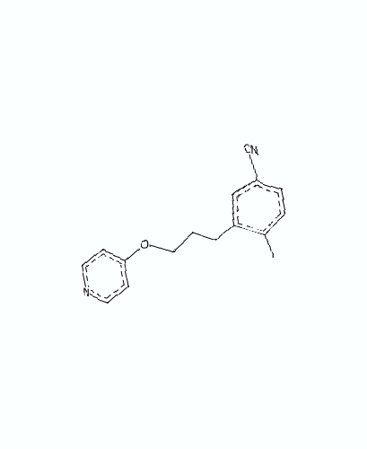 N#Cc1ccc(I)c(CCCOc2ccncc2)c1